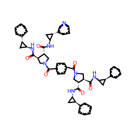 O=C(NC1C[C@@H]1c1ccccc1)[C@@H]1CN(C(=O)c2ccc(C(=O)N3C[C@@H](C(=O)N[C@H]4C[C@@H]4c4ccccc4)[C@H](C(=O)N[C@H]4C[C@@H]4c4cccnc4)C3)cc2)C[C@H]1C(=O)N[C@H]1C[C@@H]1c1ccccc1